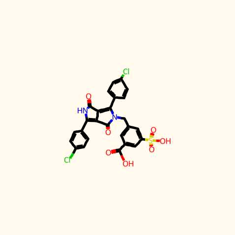 O=C1NC(c2ccc(Cl)cc2)=C2C(=O)N(Cc3cc(C(=O)O)cc(S(=O)(=O)O)c3)C(c3ccc(Cl)cc3)=C12